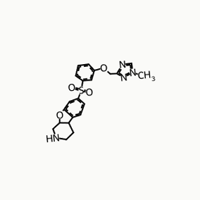 Cn1cnc(COc2cccc(S(=O)(=O)c3ccc4c(c3)OC3CNCCC43)c2)n1